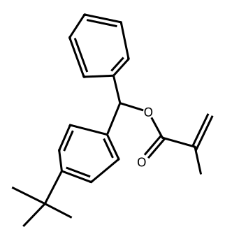 C=C(C)C(=O)OC(c1ccccc1)c1ccc(C(C)(C)C)cc1